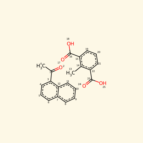 CC(=O)c1cccc2ccccc12.Cc1c(C(=O)O)cccc1C(=O)O